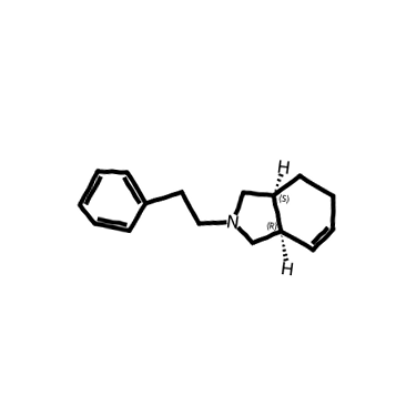 C1=C[C@H]2CN(CCc3ccccc3)C[C@H]2CC1